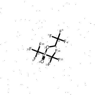 O=P(OCC(F)(F)F)(C(F)(F)F)C(F)(F)F